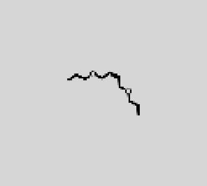 CCCOC/C=C\COCCC